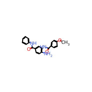 COc1ccc(C(=O)Nc2cc(C(=O)Nc3ccccc3)ccc2N)cc1